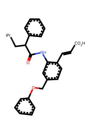 CC(C)CC(C(=O)Nc1cc(COc2ccccc2)ccc1/C=C/C(=O)O)c1ccccc1